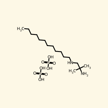 CCCCCCCCCCCCNCC(C)(C)N.O=S(=O)(O)O.O=S(=O)(O)O